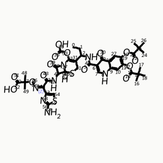 CCC(NC(=O)c1c[nH]c2cc(OC(=O)C(C)(C)C)c(OC(=O)C(C)(C)C)cc2c1=O)C1=C(OC(=O)O)N2C(=O)C(NC(=O)/C(=N\OC(C)(C)C(=O)O)c3csc(N)n3)[C@@H]2SC1